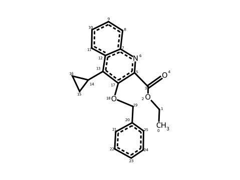 CCOC(=O)c1nc2ccccc2c(C2CC2)c1OCc1ccccc1